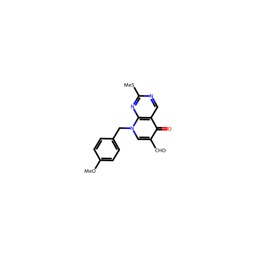 COc1ccc(Cn2cc([C]=O)c(=O)c3cnc(SC)nc32)cc1